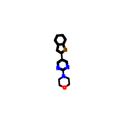 c1ccc2sc(-c3cnc(N4CCOCC4)nc3)cc2c1